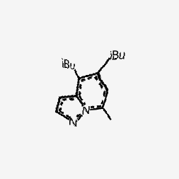 CCC(C)c1cc(C)n2nccc2c1C(C)CC